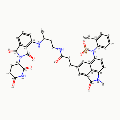 CCC(CCNC(=O)CCc1cc2c3c(ccc(N(c4ccccc4OC)[SH](=O)=O)c3c1)N(C)C2=O)Nc1cccc2c1C(=O)N(C1CCC(=O)NC1=O)C2=O